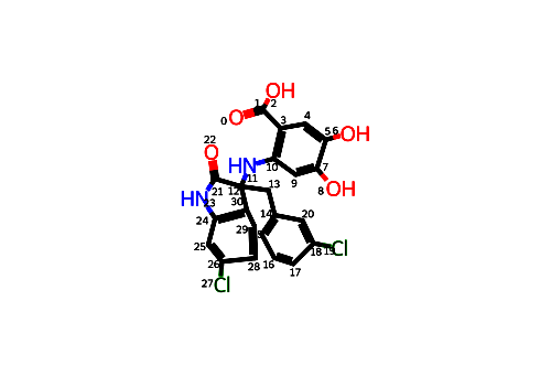 O=C(O)c1cc(O)c(O)cc1NC1(Cc2cccc(Cl)c2)C(=O)Nc2cc(Cl)ccc21